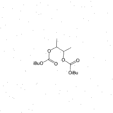 CC(C)COC(=O)OC(C)C(C)OC(=O)OCC(C)C